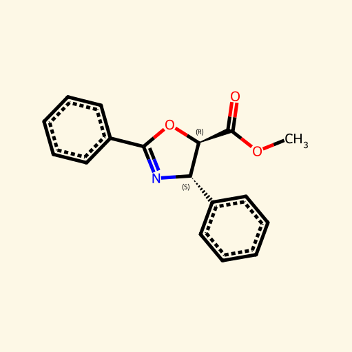 COC(=O)[C@@H]1OC(c2ccccc2)=N[C@H]1c1ccccc1